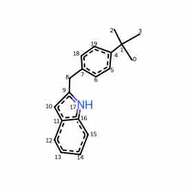 CC(C)(C)c1ccc(Cc2cc3ccccc3[nH]2)cc1